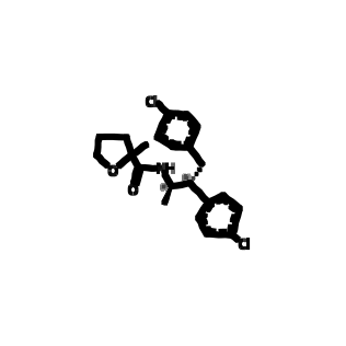 C[C@@H](NC(=O)C1(C)CCCO1)[C@H](Cc1ccc(Cl)cc1)c1ccc(Cl)cc1